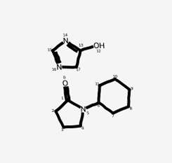 O=C1CCCN1C1CCCCC1.OC1=NC=NC1